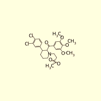 COc1cc(C(=O)C2C(c3ccc(Cl)c(Cl)c3)CCCN2CCS(C)(=O)=O)cc(OC)c1OC